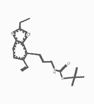 C=Cc1ccc2nc(CC)oc2c1CCCNC(=O)OC(C)(C)C